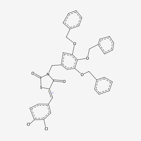 O=C1S/C(=C\c2ccc(Cl)c(Cl)c2)C(=O)N1Cc1cc(OCc2ccccc2)c(OCc2ccccc2)c(OCc2ccccc2)c1